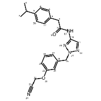 CC(C)c1ccc(CC(=O)Nc2cnn(Cc3cccc(OCC#N)c3)n2)cc1